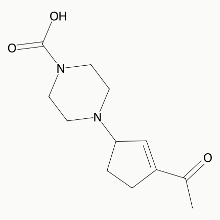 CC(=O)C1=CC(N2CCN(C(=O)O)CC2)CC1